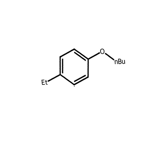 CCCCOc1c[c]c(CC)cc1